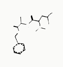 CC(C)CC(C(=O)NC(C)C(=O)OCc1ccccc1)N(C)C